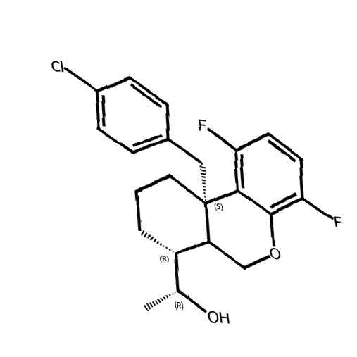 C[C@@H](O)[C@@H]1CCC[C@@]2(Cc3ccc(Cl)cc3)c3c(F)ccc(F)c3OCC12